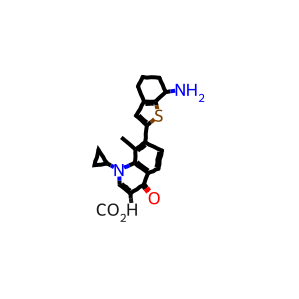 Cc1c(-c2cc3c(s2)C(N)CCC3)ccc2c(=O)c(C(=O)O)cn(C3CC3)c12